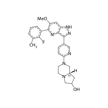 COc1cc2[nH]nc(-c3ccc(N4CCN5CC(O)C[C@H]5C4)nc3)c2nc1-c1cccc(C)c1F